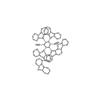 N#Cc1c(-n2c3ccccc3c3ccccc32)c(-n2c3ccccc3c3ccccc32)c(C#N)c(-n2c3cc(-c4cccc5oc6ccccc6c45)ccc3c3ccc4c5ccccc5oc4c32)c1-n1c2ccccc2c2ccccc21